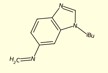 C=Nc1ccc2ncn(C(C)CC)c2c1